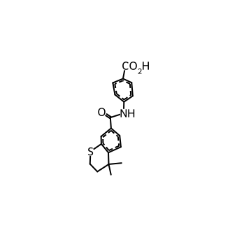 CC1(C)CCSc2cc(C(=O)Nc3ccc(C(=O)O)cc3)ccc21